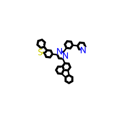 c1cncc(-c2cccc(-c3nc(-c4ccc5sc6ccccc6c5c4)cc(-c4ccc5c6c(cccc46)-c4ccccc4-5)n3)c2)c1